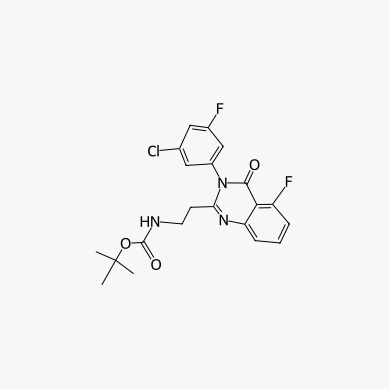 CC(C)(C)OC(=O)NCCc1nc2cccc(F)c2c(=O)n1-c1cc(F)cc(Cl)c1